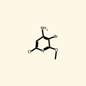 COc1nc(Cl)cc(N)c1Br